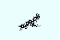 CCn1nnc2c(C)c([C@@H](CC(=O)OC)c3ccc4c(c3)CN(C(=O)c3ccc(C)c(C)c3)CC4)ccc21